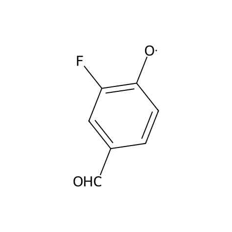 [O]c1ccc(C=O)cc1F